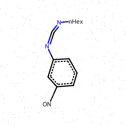 CCCCCCN=C=Nc1cccc(N=O)c1